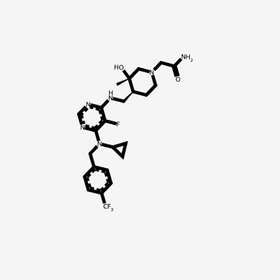 C[C@@]1(O)CN(CC(N)=O)CC[C@H]1CNc1ncnc(N(Cc2ccc(C(F)(F)F)cc2)C2CC2)c1F